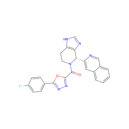 O=C(c1nnc(-c2ccc(F)cc2)o1)N1CCc2[nH]cnc2[C@@H]1c1cc2ccccc2cn1